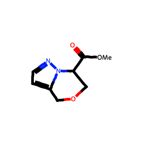 COC(=O)C1COCc2ccnn21